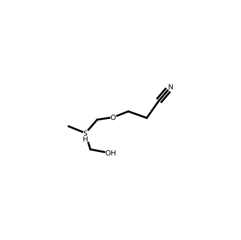 C[SH](CO)COCCC#N